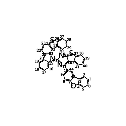 c1ccc2c(c1)oc1ccc(-c3nc(-n4c5ccccc5c5ccc6sc7ccccc7c6c54)nc4sc5ccccc5c34)cc12